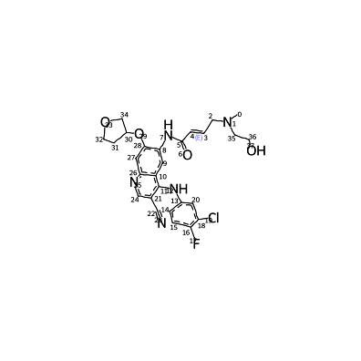 CN(C/C=C/C(=O)Nc1cc2c(Nc3ccc(F)c(Cl)c3)c(C#N)cnc2cc1OC1CCOC1)CCO